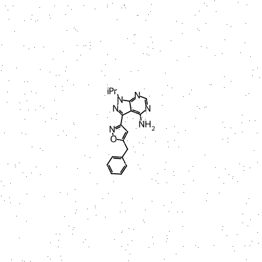 CC(C)n1nc(-c2cc(Cc3ccccc3)on2)c2c(N)ncnc21